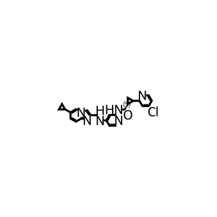 O=C(Nc1cc(NCc2cn3cc(C4CC4)ccc3n2)ccn1)[C@H]1CC1c1cc(Cl)ccn1